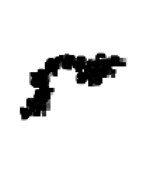 CC(C)C(NC(=O)OC(C)(C)C)C(=O)NC(C(=O)OCC(=O)N1CCN(Cc2ccc(-c3cc4nccc(Oc5ccc(NC(=O)NC6CC6)cc5F)c4s3)nc2)CC1)C(C)C